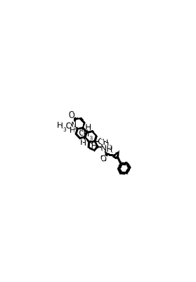 CN1C(=O)C=C[C@]2(C)[C@H]3CC[C@]4(C)[C@@H](NC(=O)C5CC5c5ccccc5)CC[C@H]4[C@@H]3CC[C@@H]12